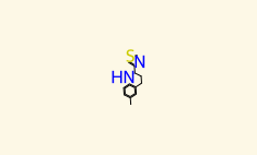 Cc1ccc2c(c1)CCC(c1cscn1)N2